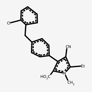 CCc1c(C#N)c(-c2ccc(Cc3ccccc3Cl)cc2)c(C(=O)O)n1C